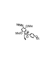 C#CCN(c1cc(OC)c(N=[N+]=[N-])cc1OC)S(=O)(=O)c1ccc(OCC)cc1